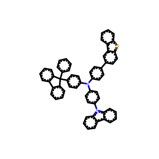 c1ccc(C2(c3ccc(N(c4ccc(-c5ccc6sc7ccccc7c6c5)cc4)c4ccc(-n5c6ccccc6c6ccccc65)cc4)cc3)c3ccccc3-c3ccccc32)cc1